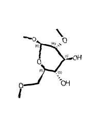 COC[C@H]1O[C@@H](OC)[C@H](OC)[C@@H](O)[C@@H]1O